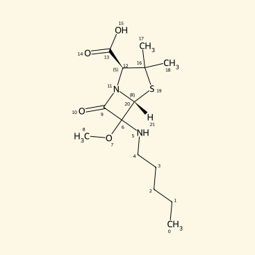 CCCCCNC1(OC)C(=O)N2[C@@H](C(=O)O)C(C)(C)S[C@@H]21